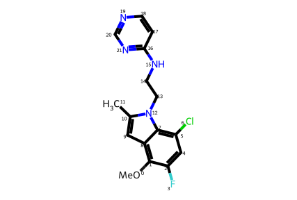 COc1c(F)cc(Cl)c2c1cc(C)n2CCNc1ccncn1